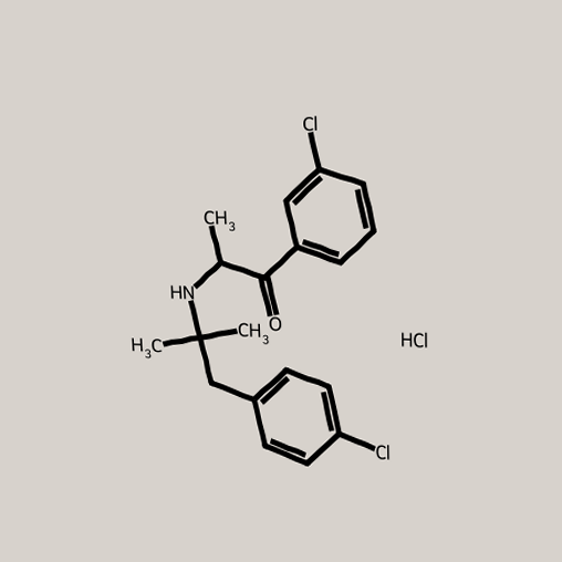 CC(NC(C)(C)Cc1ccc(Cl)cc1)C(=O)c1cccc(Cl)c1.Cl